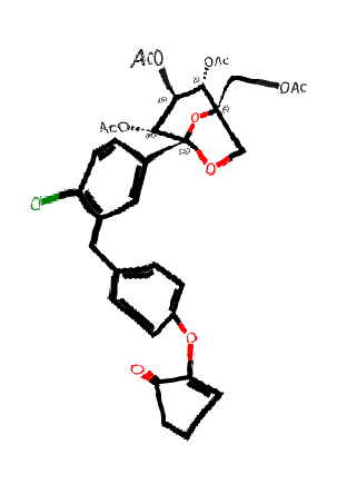 CC(=O)OC[C@@]12CO[C@@](c3ccc(Cl)c(Cc4ccc(OC5=CCCC5=O)cc4)c3)(O1)[C@H](OC(C)=O)[C@@H](OC(C)=O)[C@@H]2OC(C)=O